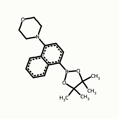 CC1(C)OB(c2ccc(N3CCOCC3)c3ccccc23)OC1(C)C